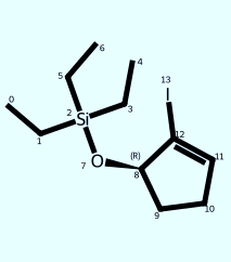 CC[Si](CC)(CC)O[C@@H]1CCC=C1I